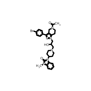 CC(=O)N1CCc2c(c(-c3ccc(Br)cc3)nn2CC(O)CN2CCC(n3c(=O)n(C)c4ccccc43)CC2)C1